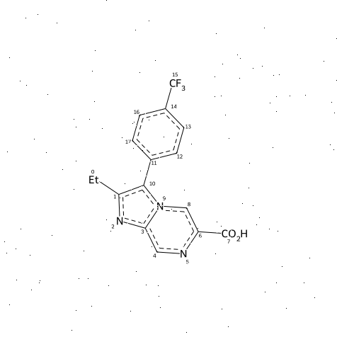 CCc1nc2cnc(C(=O)O)cn2c1-c1ccc(C(F)(F)F)cc1